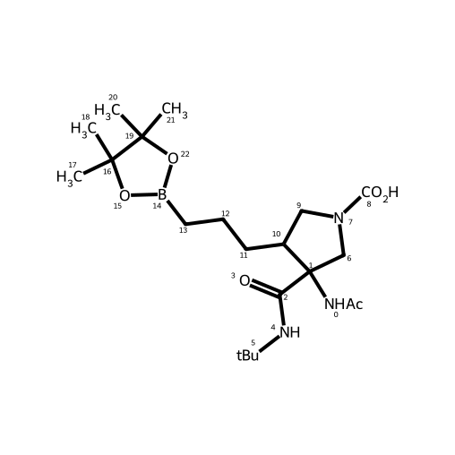 CC(=O)NC1(C(=O)NC(C)(C)C)CN(C(=O)O)CC1CCCB1OC(C)(C)C(C)(C)O1